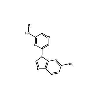 CC(C)Nc1cncc(-n2cnc3ccc(N)cc32)n1